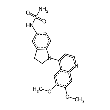 COc1cc2nccc(N3CCc4cc(NS(N)(=O)=O)ccc43)c2cc1OC